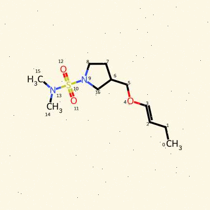 CC/C=C/OCC1CCN(S(=O)(=O)N(C)C)C1